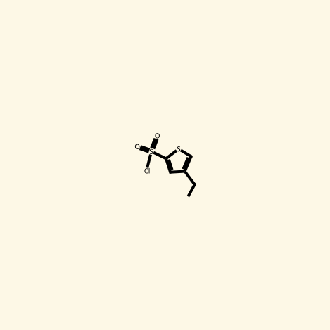 CCc1csc(S(=O)(=O)Cl)c1